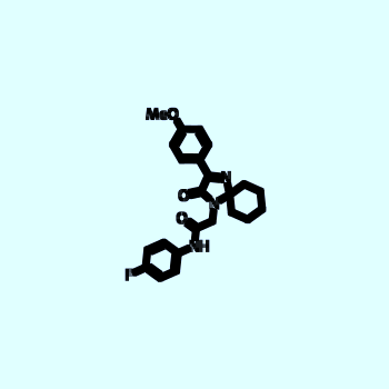 COc1ccc(C2=NC3(CCCCC3)N(CC(=O)Nc3ccc(F)cc3)C2=O)cc1